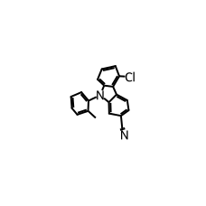 Cc1ccccc1-n1c2cc(C#N)ccc2c2c(Cl)cccc21